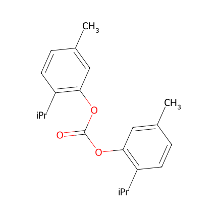 Cc1ccc(C(C)C)c(OC(=O)Oc2cc(C)ccc2C(C)C)c1